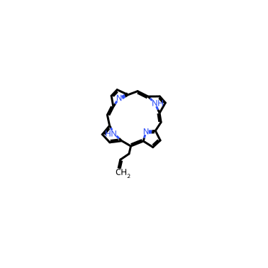 C=CCc1c2nc(cc3ccc(cc4nc(cc5ccc1[nH]5)C=C4)[nH]3)C=C2